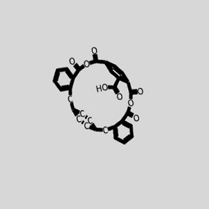 O=C1OC(=O)c2ccccc2CC2CCC(CC2)Cc2ccccc2C(=O)OC(=O)c2ccc1cc2C(=O)O